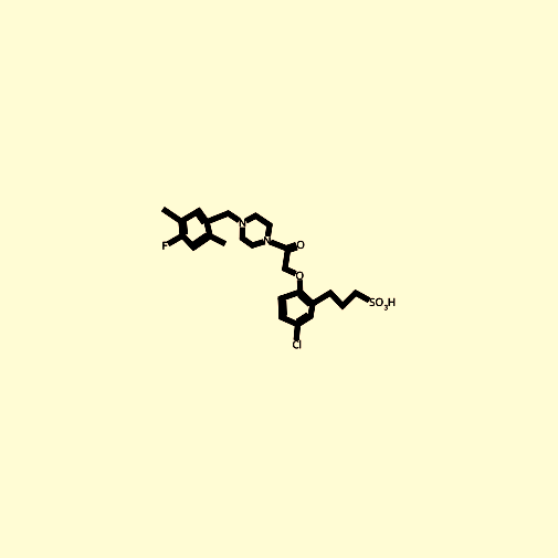 Cc1cc(CN2CCN(C(=O)COc3ccc(Cl)cc3CCCS(=O)(=O)O)CC2)c(C)cc1F